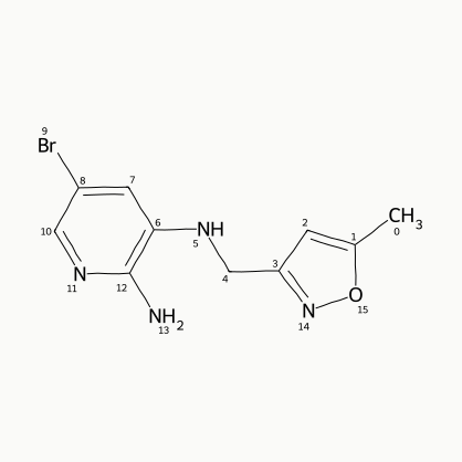 Cc1cc(CNc2cc(Br)cnc2N)no1